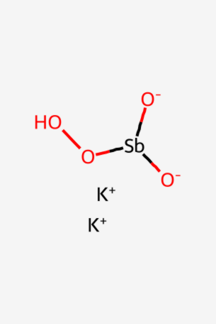 [K+].[K+].[O-][Sb]([O-])[O]O